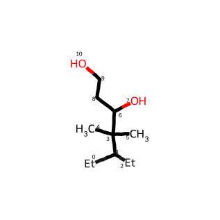 CCC(CC)C(C)(C)C(O)CCO